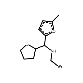 Cc1ccc(C(NCC(C)C)C2CCCS2)o1